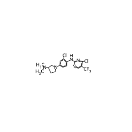 CN(C)C1CCN(c2ccc(Nc3ncc(C(F)(F)F)c(Cl)n3)c(Cl)c2)C1